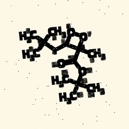 CC(C)(C)CC1OOC1(C)C(=O)OC(C)(C)C